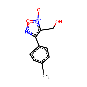 [O-][n+]1onc(-c2ccc(C(F)(F)F)cc2)c1CO